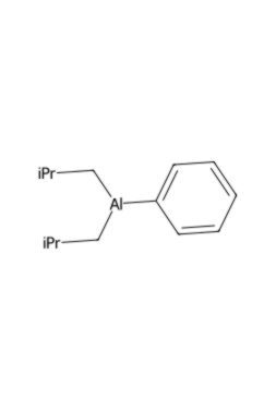 CC(C)[CH2][Al]([CH2]C(C)C)[c]1ccccc1